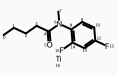 CCCCC(=O)N(C)c1ccc(F)[c]c1F.[Ti]